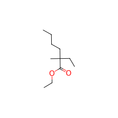 CCCCC(C)(CC)C(=O)OCC